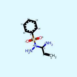 C=CC(N)N(N)S(=O)(=O)c1ccccc1